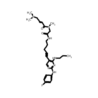 CCCNc1nc(Nc2ccc(F)cc2)ncc1C#CCCCNC(=O)CN(C)C(=O)C=CCN(C)C